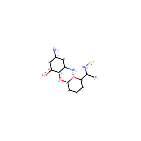 CC(NS)C1CCC[C@@H](O[C@@H]2C(N)CC(N)CC2O)O1